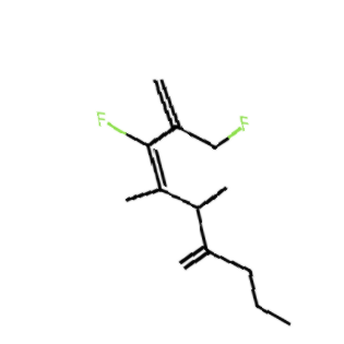 C=C(CF)/C(F)=C(/C)C(C)C(=C)CCC